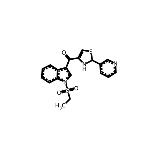 CCS(=O)(=O)n1cc(C(=O)C2=CSC(c3cccnc3)N2)c2ccccc21